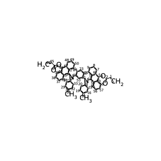 C=CC(=O)Oc1c2ccccc2c(N(c2ccc(C)cc2)c2cccc(N(c3ccc(C)cc3)c3c4ccccc4c(OC(=O)C=C)c4ccccc34)c2)c2ccccc12